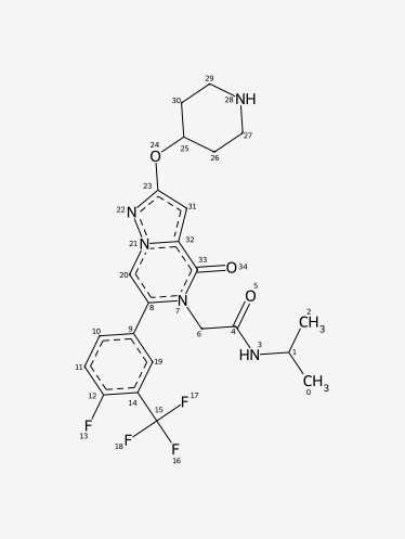 CC(C)NC(=O)Cn1c(-c2ccc(F)c(C(F)(F)F)c2)cn2nc(OC3CCNCC3)cc2c1=O